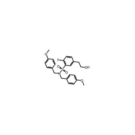 COc1ccc(CN(Cc2ccc(OC)cc2)S(=O)(=O)c2cc(CCO)ccc2F)cc1